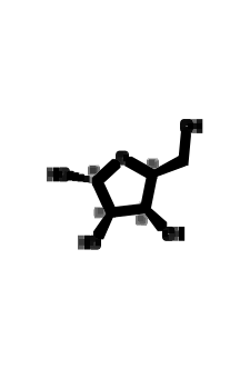 OC[C@@H]1O[C@@H](O)[C@H](O)[C@@H]1O